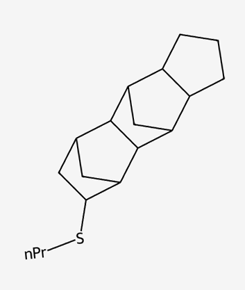 CCCSC1CC2CC1C1C3CC(C4CCCC43)C21